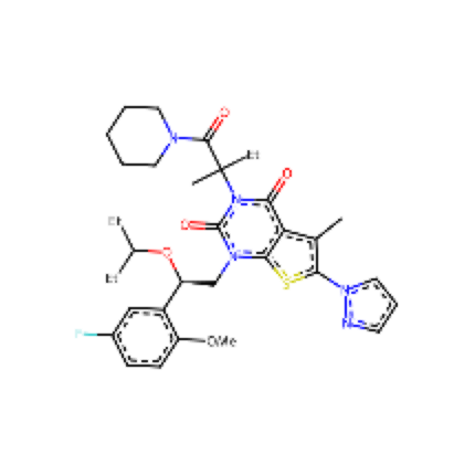 CCC(CC)O[C@@H](Cn1c(=O)n(C(C)(CC)C(=O)N2CCCCC2)c(=O)c2c(C)c(-n3cccn3)sc21)c1cc(F)ccc1OC